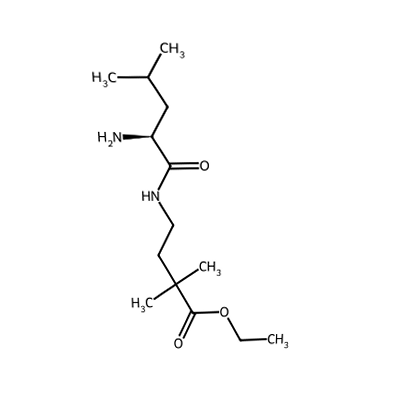 CCOC(=O)C(C)(C)CCNC(=O)[C@@H](N)CC(C)C